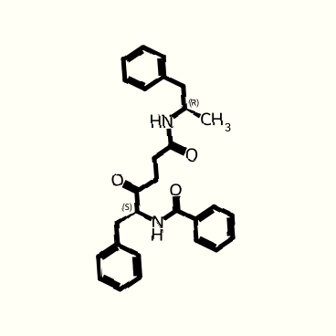 C[C@H](Cc1ccccc1)NC(=O)CCC(=O)[C@H](Cc1ccccc1)NC(=O)c1ccccc1